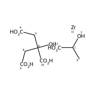 CC(O)C(=O)O.O=C(O)CC(O)(CC(=O)O)C(=O)O.[Zr]